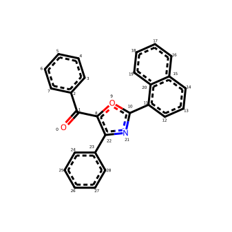 O=C(c1ccccc1)c1oc(-c2cccc3ccccc23)nc1-c1ccccc1